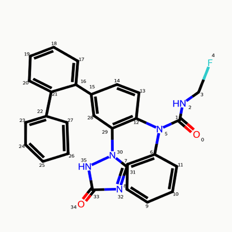 O=C(NCF)N(c1ccccc1)c1ccc(-c2ccccc2-c2ccccc2)cc1-n1cnc(=O)[nH]1